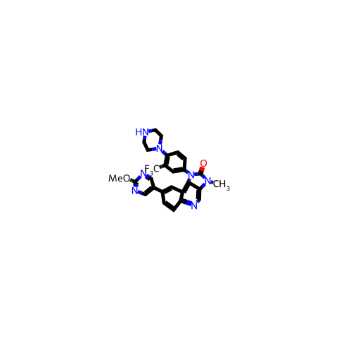 COc1ncc(-c2ccc3ncc4c(c3c2)n(-c2ccc(N3CCNCC3)c(C(F)(F)F)c2)c(=O)n4C)cn1